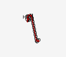 O=C(CCOCCOCCOCCOCCOCCOCCOCCOCCOCCOCCOCCOCCn1cc(-c2cccc(S(=O)(=O)NC3CC4(C3)NC(=O)N(c3ccccc3)C4=O)c2)nn1)ON1C(=O)CCC1=O